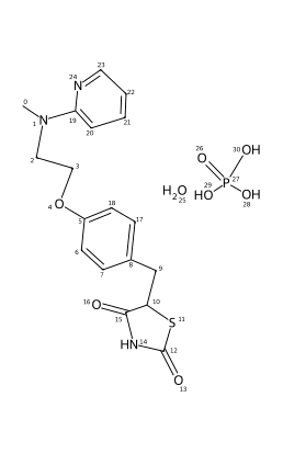 CN(CCOc1ccc(CC2SC(=O)NC2=O)cc1)c1ccccn1.O.O=P(O)(O)O